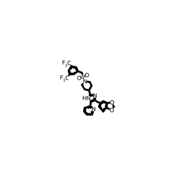 O=S(=O)(Cc1cc(C(F)(F)F)cc(C(F)(F)F)c1)N1CCC(c2nc(-c3ccc4c(c3)OCO4)c(-c3ccccn3)[nH]2)CC1